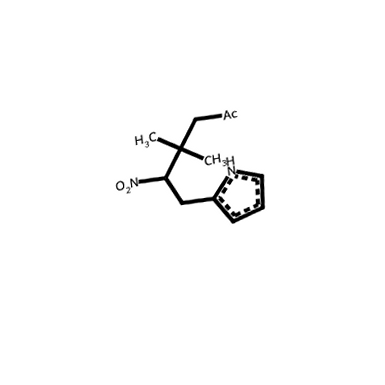 CC(=O)CC(C)(C)C(Cc1ccc[nH]1)[N+](=O)[O-]